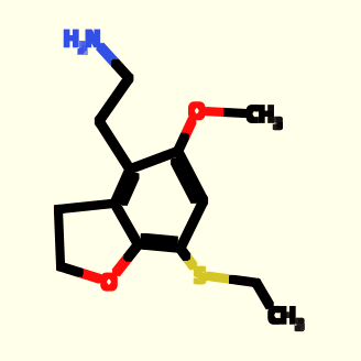 CCSc1cc(OC)c(CCN)c2c1OCC2